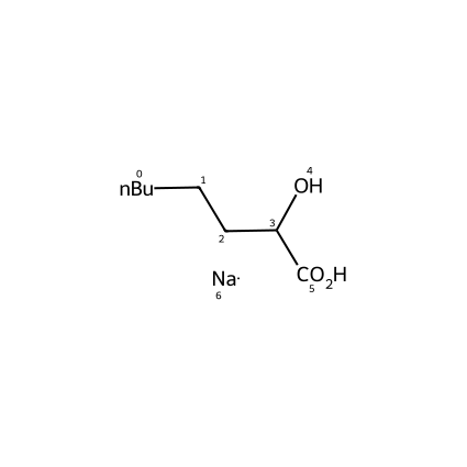 CCCCCCC(O)C(=O)O.[Na]